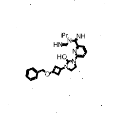 CC(C)N(C=N)C(=N)c1cccc(N2CCN(C3CC(OCc4ccccc4)C3)C2O)n1